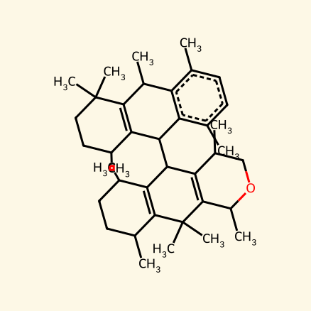 Cc1ccc(C)c2c1C(C)C1=C(C(C)CCC1(C)C)C2C1C2=C(C(C)CCC2C)C(C)(C)C2=C1C(C)COC2C